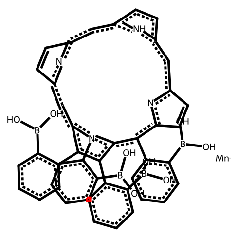 OB(O)c1ccccc1-c1c(-c2ccccc2B(O)O)c2c(-c3ccccc3B(O)O)c3nc(cc4ccc(cc5nc(cc1n2-c1ccccc1B(O)O)C=C5)[nH]4)C=C3.[Mn]